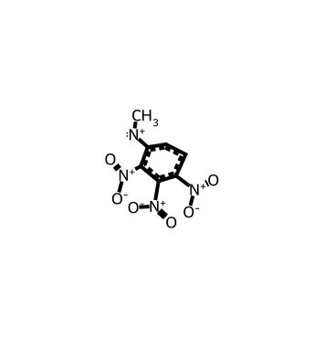 C[N+]c1ccc([N+](=O)[O-])c([N+](=O)[O-])c1[N+](=O)[O-]